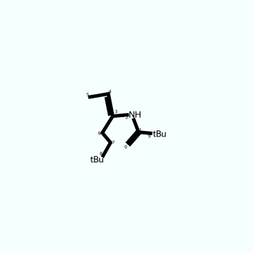 C=C(N/C(=C/C)CCC(C)(C)C)C(C)(C)C